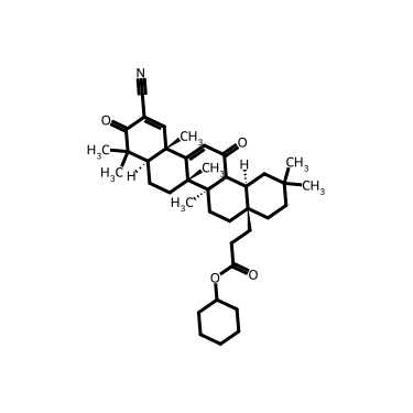 CC1(C)CC[C@]2(CCC(=O)OC3CCCCC3)CC[C@]3(C)C(C(=O)C=C4[C@@]5(C)C=C(C#N)C(=O)C(C)(C)[C@@H]5CC[C@]43C)[C@H]2C1